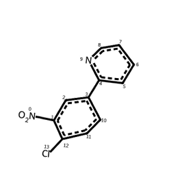 O=[N+]([O-])c1cc(-c2ccccn2)ccc1Cl